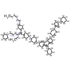 C=C/C=C\C=C\c1ccc(N(/C(C=C)=C/C=C/c2ccccc2)c2ccc(-c3ccc(-c4ccc5c(c4)c4cc(-c6ccc(-c7ccc(-c8ccccc8)s7)cc6)ccc4n5-c4ccccc4)cc3)cc2)cc1